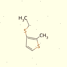 C[CH]Sc1ccsc1C